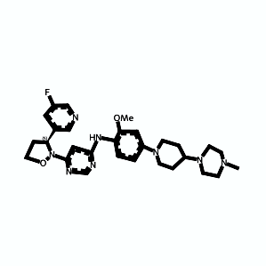 COc1cc(N2CCC(N3CCN(C)CC3)CC2)ccc1Nc1cc(N2OCC[C@H]2c2cncc(F)c2)ncn1